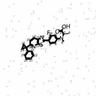 C[C@H](C(=O)O)N(C)c1ccc(-c2nc3ccc(C4(c5ccccc5)CC4)nc3s2)c(F)c1